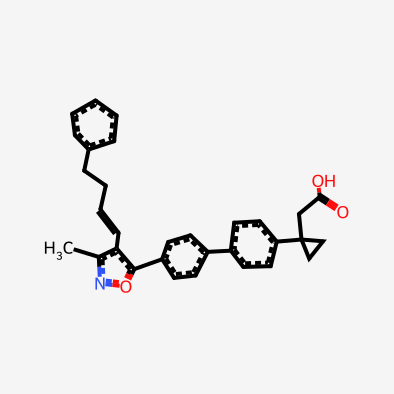 Cc1noc(-c2ccc(-c3ccc(C4(CC(=O)O)CC4)cc3)cc2)c1C=CCCc1ccccc1